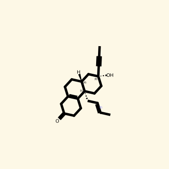 CC#C[C@@]1(O)CC[C@@]2(C/C=C/C)C3=C(CC[C@@H]2C1)CC(=O)CC3